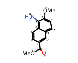 COC(=O)c1ccc2c(N)c(OC)ccc2c1